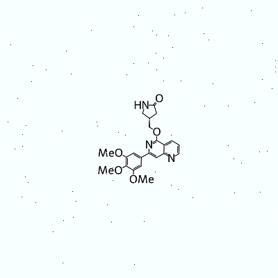 COc1cc(-c2cc3ncccc3c(OC[C@H]3CNC(=O)C3)n2)cc(OC)c1OC